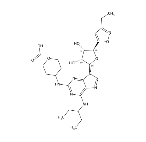 CCc1cc([C@H]2O[C@@H](n3cnc4c(NC(CC)CC)nc(NC5CCOCC5)nc43)[C@H](O)[C@@H]2O)on1.O=CO